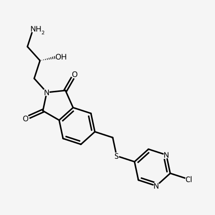 NC[C@H](O)CN1C(=O)c2ccc(CSc3cnc(Cl)nc3)cc2C1=O